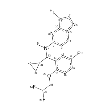 CN(c1ccn2ncc(I)c2n1)C(c1cc(F)ccc1OCC(F)F)C1CC1